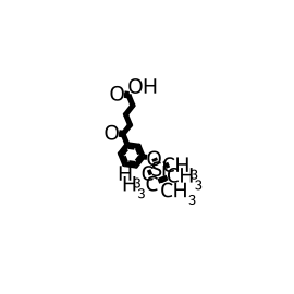 CC(C)(C)[Si](C)(C)Oc1cccc(C(=O)CCCC(=O)O)c1